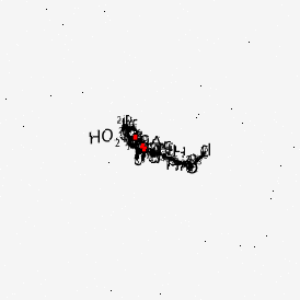 CC(=O)O[C@@H]1C[C@@]23COC[C@](C)([C@@H]2CC[C@H]2C3=CC[C@@]3(C)[C@H](C(=O)O)[C@@](C)([C@H](C)C(C)C)CC[C@]23C)[C@H]1OC(=O)C(N)CCCCNS(=O)(=O)CCCCl